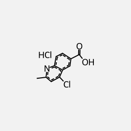 Cc1cc(Cl)c2cc(C(=O)O)ccc2n1.Cl